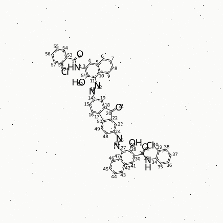 O=C(Nc1cc2ccccc2c(N=Nc2ccc3c(c2)C(=O)c2cc(N=Nc4c(O)c(C(=O)Nc5ccccc5Cl)cc5ccccc45)ccc2-3)c1O)c1ccccc1Cl